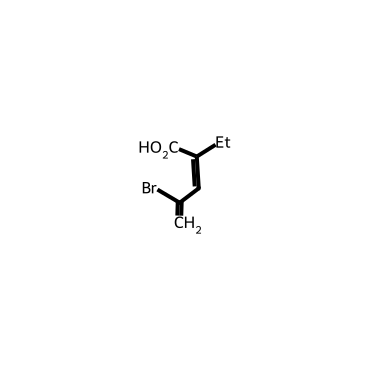 C=C(Br)C=C(CC)C(=O)O